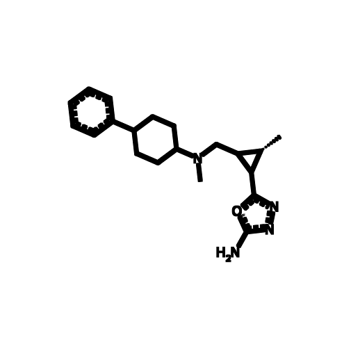 C[C@H]1C(CN(C)C2CCC(c3ccccc3)CC2)C1c1nnc(N)o1